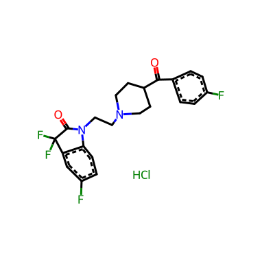 Cl.O=C(c1ccc(F)cc1)C1CCN(CCN2C(=O)C(F)(F)c3cc(F)ccc32)CC1